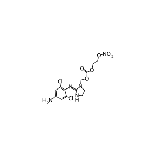 Nc1cc(Cl)c(/N=C2\NCCN2COC(=O)OCCO[N+](=O)[O-])c(Cl)c1